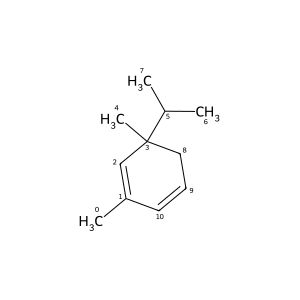 CC1=CC(C)(C(C)C)CC=C1